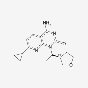 CC([C@H]1CCOC1)n1c(=O)nc(N)c2ccc(C3CC3)nc21